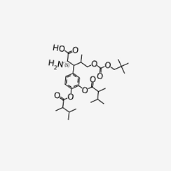 CC(C)C(C)C(=O)Oc1ccc(C(C(C)COC(=O)OCC(C)(C)C)[C@H](N)C(=O)O)cc1OC(=O)C(C)C(C)C